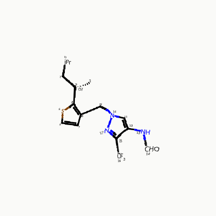 CC(C)C[C@H](C)c1sccc1Cn1cc(NC=O)c(C(F)(F)F)n1